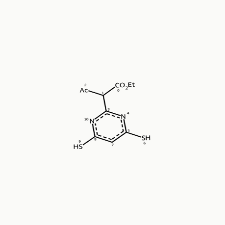 CCOC(=O)C(C(C)=O)c1nc(S)cc(S)n1